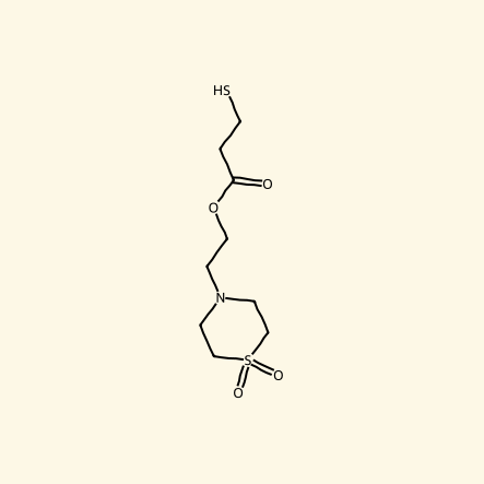 O=C(CCS)OCCN1CCS(=O)(=O)CC1